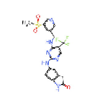 CS(=O)(=O)c1cncc(CNc2nc(Nc3ccc4c(c3)CC(=O)N4)ncc2C(F)(F)F)c1